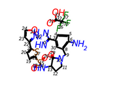 N=C(N)c1ccc(N)c(CN2CCC(NS(=O)(=O)c3ccc(-c4ccon4)s3)C2=O)c1.O=C(O)C(F)(F)F